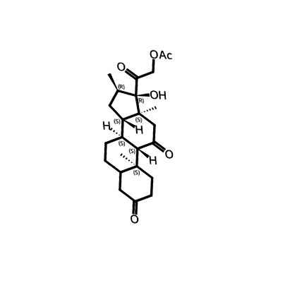 CC(=O)OCC(=O)[C@@]1(O)[C@H](C)C[C@H]2[C@@H]3CCC4CC(=O)CC[C@]4(C)[C@H]3C(=O)C[C@@]21C